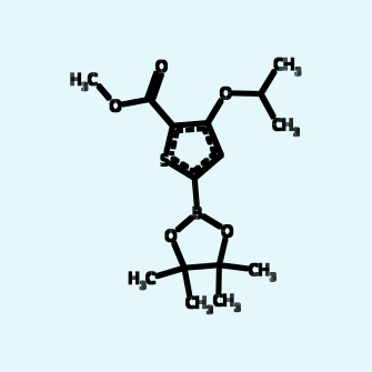 COC(=O)c1sc(B2OC(C)(C)C(C)(C)O2)cc1OC(C)C